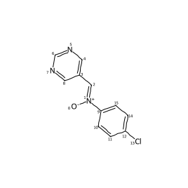 [O-][N+](=Cc1cncnc1)c1ccc(Cl)cc1